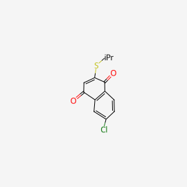 CC(C)SC1=CC(=O)c2cc(Cl)ccc2C1=O